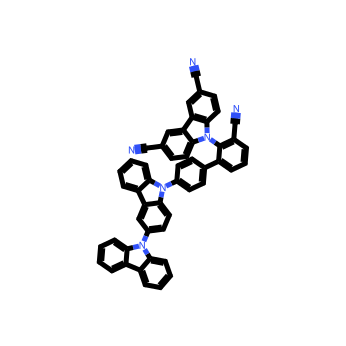 N#Cc1ccc2c(c1)c1cc(C#N)ccc1n2-c1c(C#N)cccc1-c1ccc(-n2c3ccccc3c3cc(-n4c5ccccc5c5ccccc54)ccc32)cc1